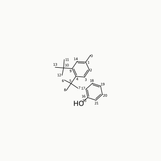 Cc1ccc(C(C)(C)C)c(C(C)(C)C)c1.Oc1ccccc1